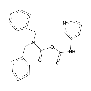 O=C(Nc1cccnc1)OC(=O)N(Cc1ccccc1)Cc1ccccc1